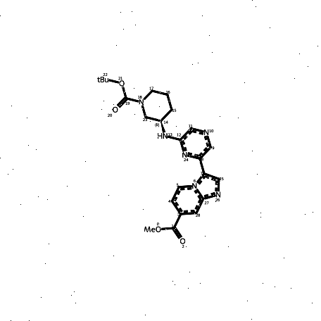 COC(=O)c1ccn2c(-c3cncc(N[C@@H]4CCCN(C(=O)OC(C)(C)C)C4)n3)cnc2c1